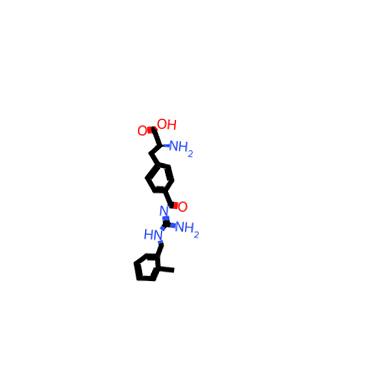 Cc1ccccc1CN/C(N)=N/C(=O)c1ccc(C[C@H](N)C(=O)O)cc1